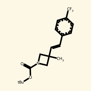 CC1(C=Cc2ccc(C(F)(F)F)cc2)CN(C(=O)OC(C)(C)C)C1